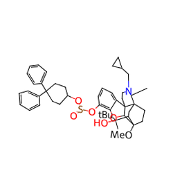 COC12CCC3(CC1C(C)(O)C(C)(C)C)C(C)N(CC1CC1)CCC31c3cccc(OS(=O)OC4CCC(c5ccccc5)(c5ccccc5)CC4)c3OC21